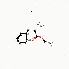 CO[C@@H](Cc1ccccc1)C(=O)OCC#N